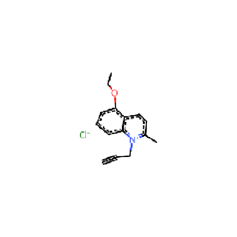 C#CC[n+]1c(C)ccc2c(OCC)cccc21.[Cl-]